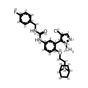 Cn1ncc(Cl)c1-c1cc(NC(=O)NCc2ccc(F)cc2)ccc1OCCN1C2CCC1CC2